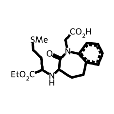 CCOC(=O)C(CCSC)NC1CCc2ccccc2N(CC(=O)O)C1=O